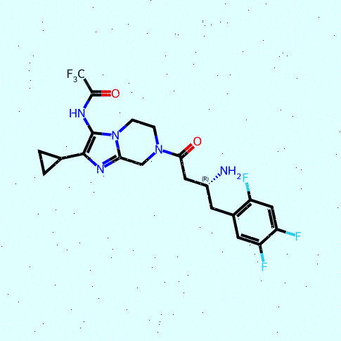 N[C@@H](CC(=O)N1CCn2c(nc(C3CC3)c2NC(=O)C(F)(F)F)C1)Cc1cc(F)c(F)cc1F